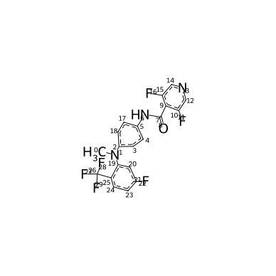 CN(c1ccc(NC(=O)c2c(F)cncc2F)cc1)c1cc(F)ccc1C(F)(F)F